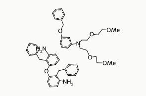 COCCOCCN(CCOCCOC)c1cccc(OCc2ccccc2)c1.Nc1cccc(Oc2cccc(N)c2Cc2ccccc2)c1Cc1ccccc1